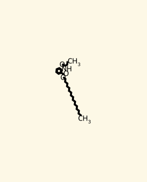 CCCCCCCCCCCCCCCCCCOC(=O)c1ccccc1NC(=O)CCC